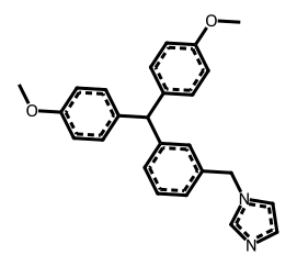 COc1ccc(C(c2ccc(OC)cc2)c2cccc(Cn3ccnc3)c2)cc1